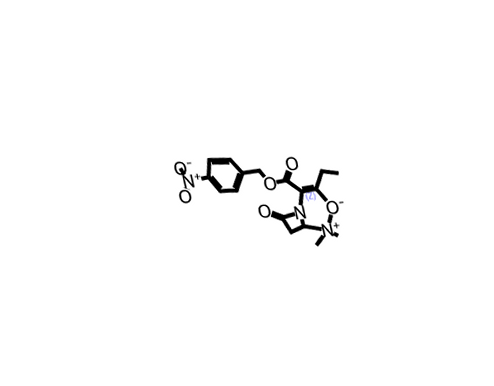 CC/C([O-])=C(\C(=O)OCc1ccc([N+](=O)[O-])cc1)N1C(=O)CC1[N+](C)(C)C